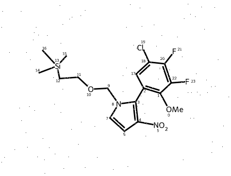 COc1c(-c2c([N+](=O)[O-])ccn2COCC[Si](C)(C)C)cc(Cl)c(F)c1F